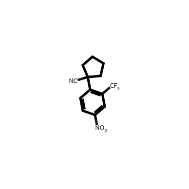 N#CC1(c2ccc([N+](=O)[O-])cc2C(F)(F)F)CCCC1